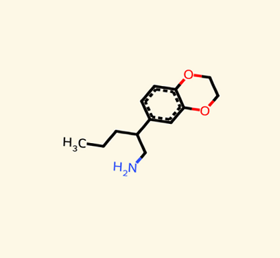 CCCC(CN)c1ccc2c(c1)OCCO2